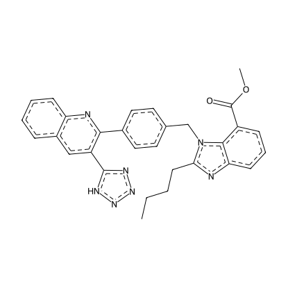 CCCCc1nc2cccc(C(=O)OC)c2n1Cc1ccc(-c2nc3ccccc3cc2-c2nnn[nH]2)cc1